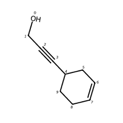 OCC#CC1CC=CCC1